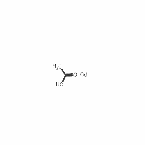 CC(=O)O.[Gd]